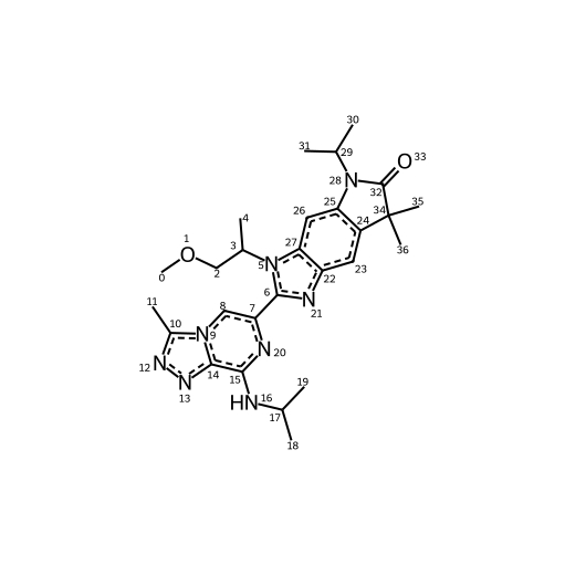 COCC(C)n1c(-c2cn3c(C)nnc3c(NC(C)C)n2)nc2cc3c(cc21)N(C(C)C)C(=O)C3(C)C